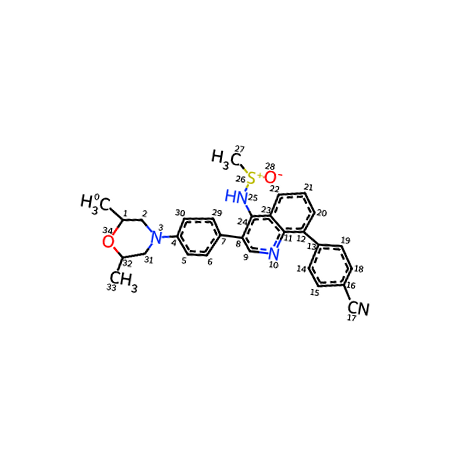 CC1CN(c2ccc(-c3cnc4c(-c5ccc(C#N)cc5)cccc4c3N[S+](C)[O-])cc2)CC(C)O1